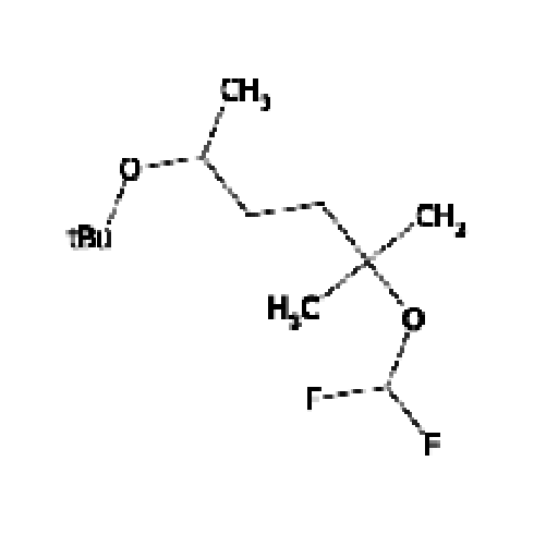 CC(CCC(C)(C)OC(F)F)OC(C)(C)C